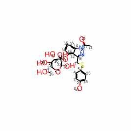 COc1ccc(SCc2nn(C(C)=O)c3cccc(O[C@]4(O)[C@H](O)O[C@H](CO)[C@@H](O)[C@@H]4O)c23)cc1